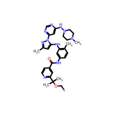 Cc1cc(Nc2cc(NC(=O)c3ccnc(C(C)(C)OCI)c3)ccc2C)n(-c2cc(NN3CCN(C)CC3)ncn2)n1